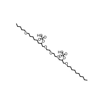 CCCCCCCCCCOCC(COCCOCCOCC(CCCCCCOCCCCC)OS(=O)(=O)O)OS(=O)(=O)O